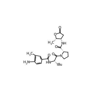 Cc1cc(C(=O)N[C@H](C(=O)N2CCC[C@H]2C(=O)N[C@H]2CC(=O)O[C@H]2C)C(C)(C)C)ccc1N